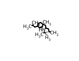 C=CCC(CC1(C)C=CC(CC(C)C)=CC1)NC(C)C